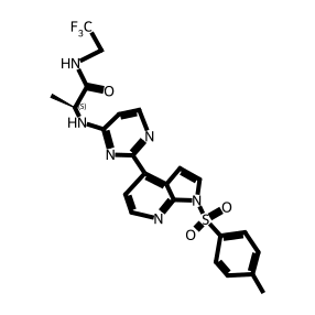 Cc1ccc(S(=O)(=O)n2ccc3c(-c4nccc(N[C@@H](C)C(=O)NCC(F)(F)F)n4)ccnc32)cc1